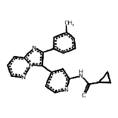 Cc1cccc(-c2nc3cccnn3c2-c2ccnc(NC(=O)C3CC3)c2)c1